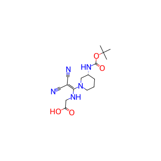 CC(C)(C)OC(=O)N[C@@H]1CCCN(C(NCC(=O)O)=C(C#N)C#N)C1